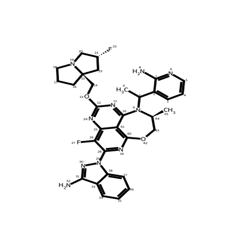 CC(c1cccnc1N)N1c2nc(OC[C@@]34CCCN3C[C@H](F)C4)nc3c(F)c(-n4nc(N)c5ccccc54)nc(c23)OC[C@@H]1C